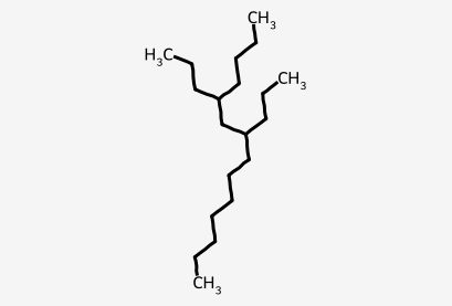 CCCCCCCC(CCC)CC(CCC)CCCC